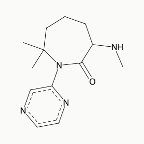 CNC1CCCC(C)(C)N(c2cnccn2)C1=O